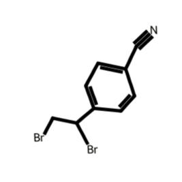 N#Cc1ccc(C(Br)CBr)cc1